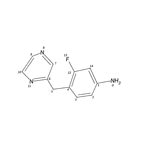 Nc1ccc(Cc2cnccn2)c(F)c1